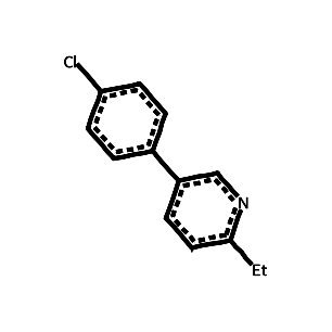 CCc1[c]cc(-c2ccc(Cl)cc2)cn1